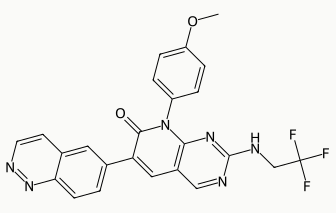 COc1ccc(-n2c(=O)c(-c3ccc4nnccc4c3)cc3cnc(NCC(F)(F)F)nc32)cc1